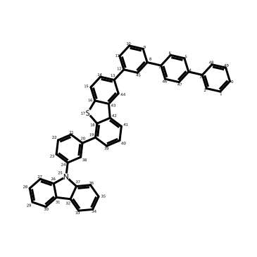 c1ccc(-c2ccc(-c3cccc(-c4ccc5sc6c(-c7cccc(-n8c9ccccc9c9ccccc98)c7)cccc6c5c4)c3)cc2)cc1